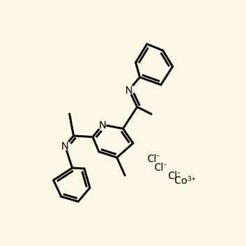 CC(=Nc1ccccc1)c1cc(C)cc(C(C)=Nc2ccccc2)n1.[Cl-].[Cl-].[Cl-].[Co+3]